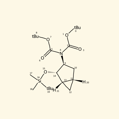 CC(C)(C)OC(=O)N(C(=O)OC(C)(C)C)[C@H]1C[C@@H]2C[C@@H]2[C@@H]1O[Si](C)(C)C(C)(C)C